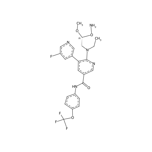 CCN(C[C@H](OC)ON)c1ncc(C(=O)Nc2ccc(OC(F)(F)F)cc2)cc1-c1cncc(F)c1